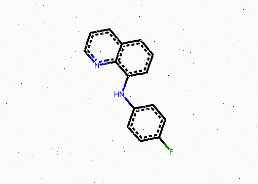 Fc1ccc(Nc2cccc3cccnc23)cc1